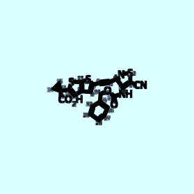 N#Cc1snc(C#Cc2cc3cc(C4(C(=O)O)CC4)sc3s2)c1NC(=O)OCc1ccccc1